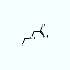 CCC(=N)CNCI